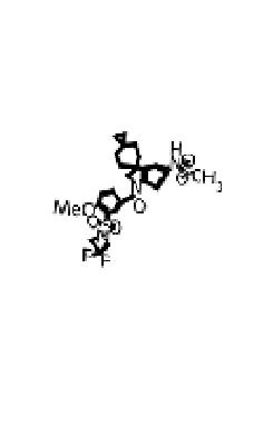 COc1ccc(C(=O)N2CC3(CCC4(CC4)CC3)c3cc(NS(C)(=O)=O)ccc32)cc1S(=O)(=O)N1CC(F)(F)C1